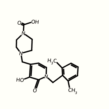 Cc1cccc(C)c1Cn1ccc(CN2CCN(C(=O)O)CC2)c(O)c1=O